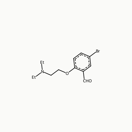 CCN(CC)CCOc1ccc(Br)cc1C=O